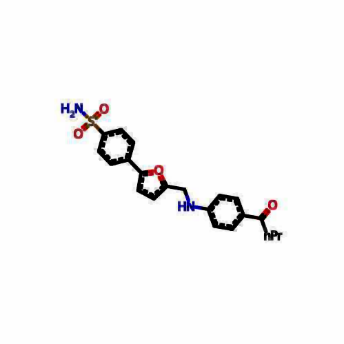 CCCC(=O)c1ccc(NCc2ccc(-c3ccc(S(N)(=O)=O)cc3)o2)cc1